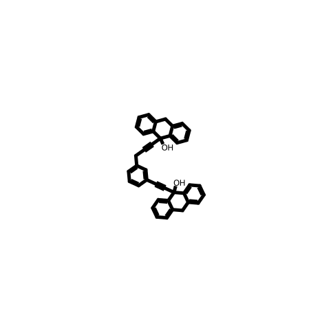 OC1(C#CCc2cccc(C#CC3(O)c4ccccc4Cc4ccccc43)c2)c2ccccc2Cc2ccccc21